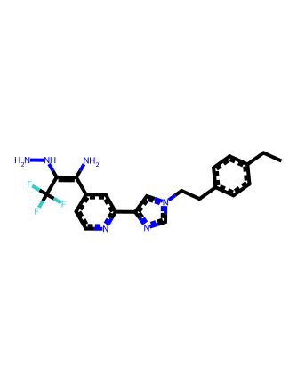 CCc1ccc(CCn2cnc(-c3cc(/C(N)=C(/NN)C(F)(F)F)ccn3)c2)cc1